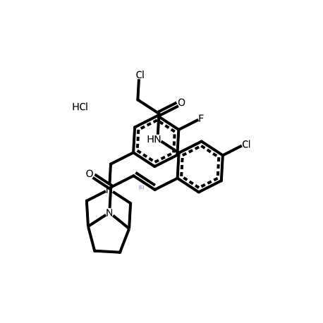 Cl.O=C(CCl)Nc1cc(Cl)ccc1/C=C/C(=O)N1C2CCC1CN(Cc1ccc(F)cc1)C2